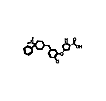 CN(C)C1(c2ccccc2)CCC(Cc2ccc(Cl)c(O[C@@H]3CN[C@H](C(=O)O)C3)c2)CC1